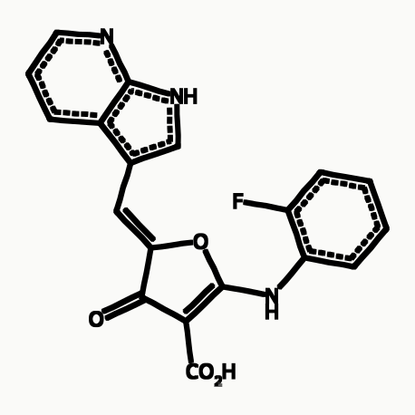 O=C(O)C1=C(Nc2ccccc2F)OC(=Cc2c[nH]c3ncccc23)C1=O